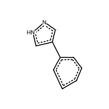 [c]1n[nH]cc1-c1ccccc1